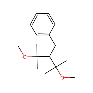 COC(C)(C)C(Cc1ccccc1)C(C)(C)OC